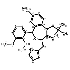 COc1cccc([C@H]2O[C@H](Cc3nnn[nH]3)C(=O)N(CC(C)(C)C)c3ccc(Cl)cc32)c1OC.[NaH]